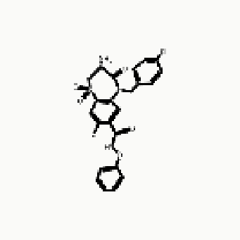 N[C@H]1CS(=O)(=O)c2cc(F)c(C(=O)NOc3ccccc3)cc2N(Cc2ccc(Cl)cc2)C1=O